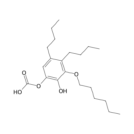 CCCCCCOc1c(O)c(OC(=O)O)cc(CCCC)c1CCCC